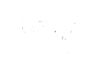 CCOC(C)(C)C(=O)N/C(=N/C=N)c1ccc([C@]2(C)O[C@H](COC(=O)Cc3ccccc3)[C@@H](OC(=O)[C@@H](N)C(C)C)[C@H]2O)[nH]1